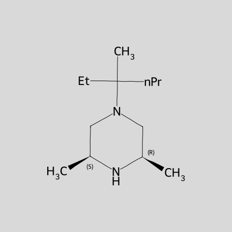 CCCC(C)(CC)N1C[C@@H](C)N[C@@H](C)C1